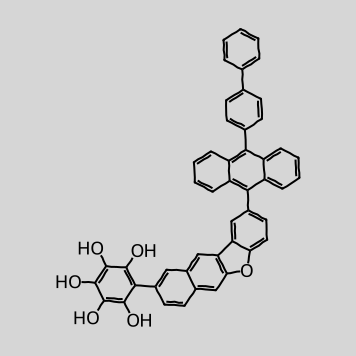 Oc1c(O)c(O)c(-c2ccc3cc4oc5ccc(-c6c7ccccc7c(-c7ccc(-c8ccccc8)cc7)c7ccccc67)cc5c4cc3c2)c(O)c1O